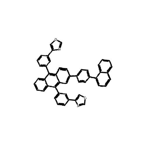 c1cc(-c2cocn2)cc(-c2c3ccccc3c(-c3cccc(-c4cocn4)c3)c3cc(-c4ccc(-c5cccc6ccccc56)cc4)ccc23)c1